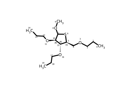 CCCOC[C@@H]1SC(OC)[C@H](OCCC)[C@H]1OCCC